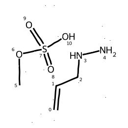 C=CCNN.COS(=O)(=O)O